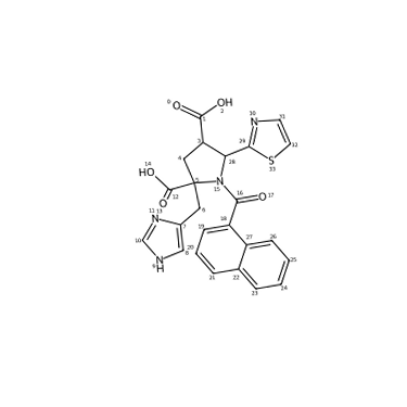 O=C(O)C1CC(Cc2c[nH]cn2)(C(=O)O)N(C(=O)c2cccc3ccccc23)C1c1nccs1